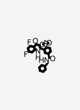 CS(=O)(=O)c1ccc(C(=O)NCc2ccccc2)cc1-c1cc(=O)c2c(F)cc(F)cc2[nH]1